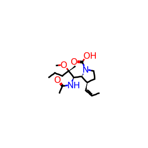 C/C=C\[C@@H]1CCN(C(=O)O)[C@H]1[C@@H](NC(C)=O)[C@](C)(CCC)OC